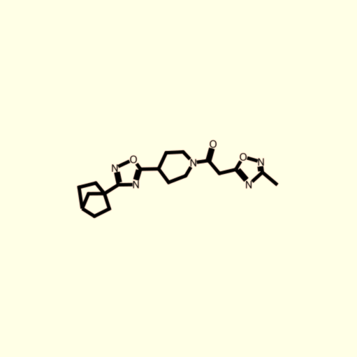 Cc1noc(CC(=O)N2CCC(c3nc(C45CCC(CC4)C5)no3)CC2)n1